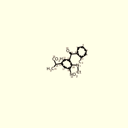 CCN1Cc2ccccc2C(=O)c2cc(C(C)C(=O)O)cc([N+](=O)[O-])c21